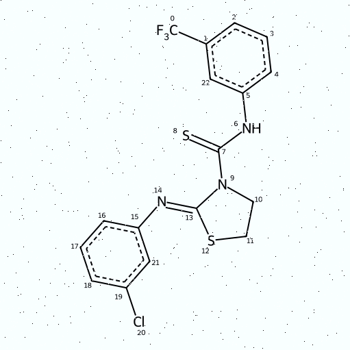 FC(F)(F)c1cccc(NC(=S)N2CCSC2=Nc2cccc(Cl)c2)c1